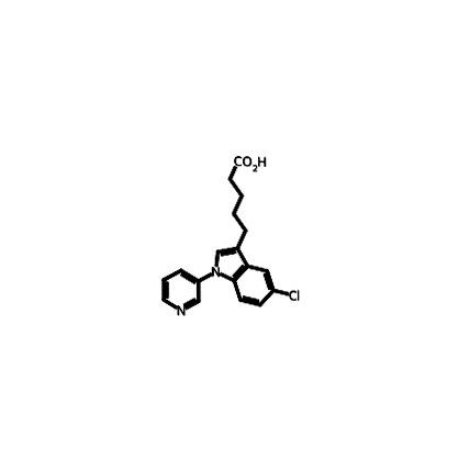 O=C(O)CCCCc1cn(-c2cccnc2)c2ccc(Cl)cc12